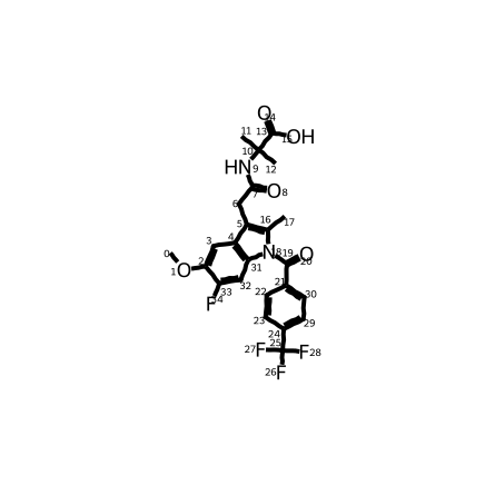 COc1cc2c(CC(=O)NC(C)(C)C(=O)O)c(C)n(C(=O)c3ccc(C(F)(F)F)cc3)c2cc1F